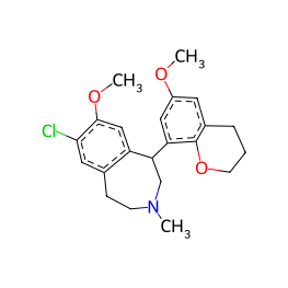 COc1cc2c(c(C3CN(C)CCc4cc(Cl)c(OC)cc43)c1)OCCC2